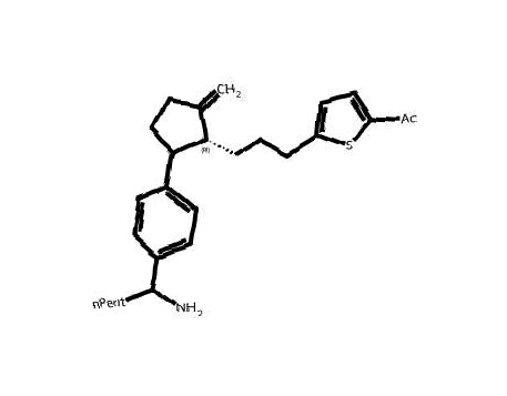 C=C1CCC(c2ccc(C(N)CCCCC)cc2)[C@H]1CCCc1ccc(C(C)=O)s1